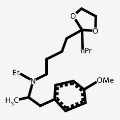 CCCC1(CCCCN(CC)C(C)Cc2ccc(OC)cc2)OCCO1